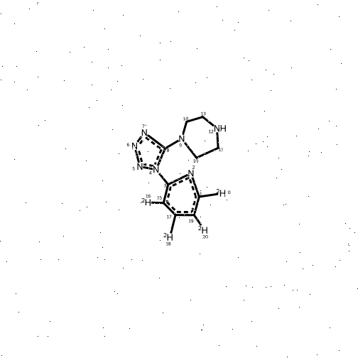 [2H]c1nc(-n2nnnc2N2CCNCC2)c([2H])c([2H])c1[2H]